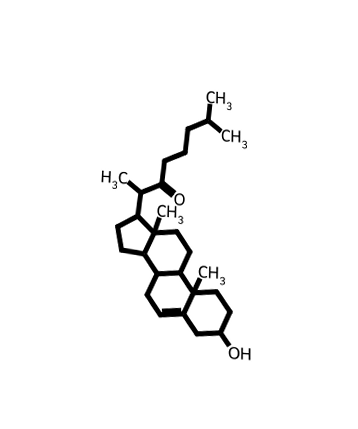 CC(C)CCCC(=O)C(C)C1CCC2C3CC=C4CC(O)CCC4(C)C3CCC12C